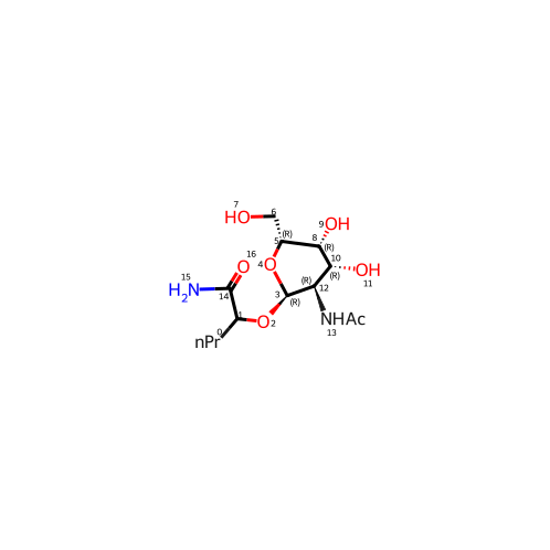 CCCC(O[C@H]1O[C@H](CO)[C@H](O)[C@H](O)[C@H]1NC(C)=O)C(N)=O